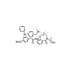 COc1ccc(CC(=O)Nc2cccc3c2O[C@H](CN(C)Cc2ccc(N(C)c4ccccc4)cc2)[C@H](C)CN([C@@H](C)CO)C3=O)cc1